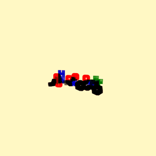 CCCS(=O)(=O)NC[C@H]1CN(c2ccc3cc(-c4ccccc4C(F)(F)F)[nH]c(=O)c3c2)C(=O)O1